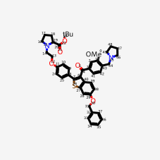 COc1cc(C(=O)c2c(-c3ccc(OCCN4CCCC4C(=O)OC(C)(C)C)cc3)sc3cc(OCc4ccccc4)ccc23)ccc1CN1CCCC1